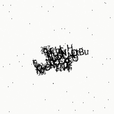 C=NCc1c(NC(=O)OC(C)(C)C)sc2c(F)cnc(-c3c4c(c5c(NC[C@@H]6CCCN6C)nc(OC[C@@]67CCCN6C[C@H](F)C7)nc5c3F)COC4)c12